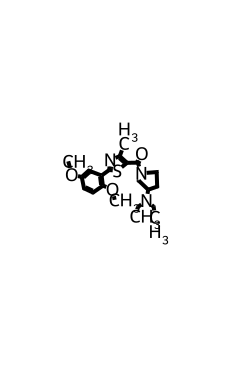 CCN(CC)C1CCN(C(=O)c2sc(-c3cc(OC)ccc3OC)nc2C)C1